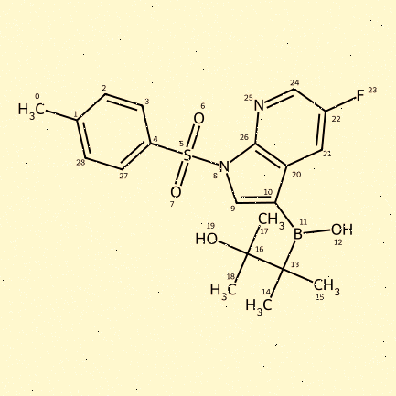 Cc1ccc(S(=O)(=O)n2cc(B(O)C(C)(C)C(C)(C)O)c3cc(F)cnc32)cc1